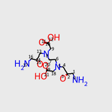 NCC(=O)CN(CCN(CC(=O)O)CC(=O)CN)CC(=O)O